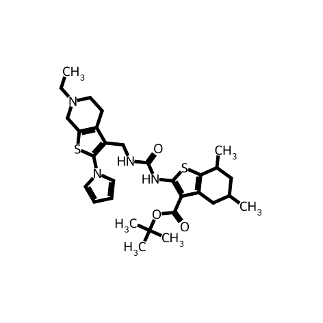 CCN1CCc2c(sc(-n3cccc3)c2CNC(=O)Nc2sc3c(c2C(=O)OC(C)(C)C)CC(C)CC3C)C1